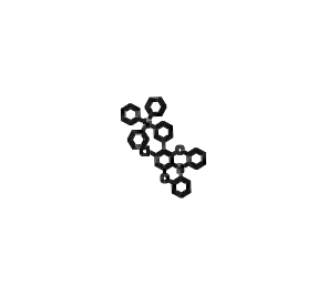 Clc1cc2c3c(c1-c1cccc([Si](c4ccccc4)(c4ccccc4)c4ccccc4)c1)Oc1ccccc1B3c1ccccc1O2